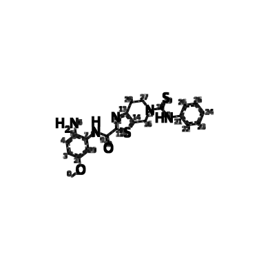 COc1ccc(N)c(NC(=O)c2nc3c(s2)CN(C(=S)Nc2ccccc2)CC3)c1